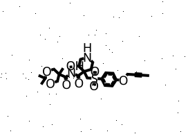 CC#CCOc1ccc(S(=O)(=O)CC2(C(=O)N(O)C(=O)C3(C)COC(C)(C)OC3)CCNCC2)cc1